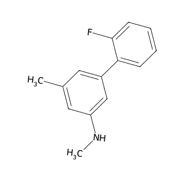 CNc1cc(C)cc(-c2ccccc2F)c1